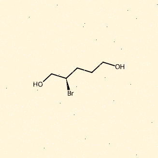 OCCC[C@@H](Br)CO